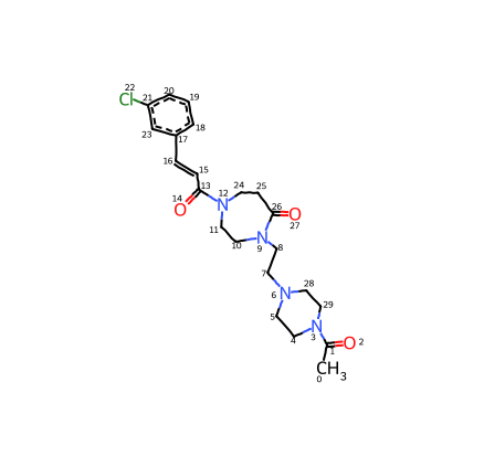 CC(=O)N1CCN(CCN2CCN(C(=O)/C=C/c3cccc(Cl)c3)CCC2=O)CC1